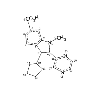 CN1c2cc(C(=O)O)ccc2C(C2CCCC2)C1c1cnccn1